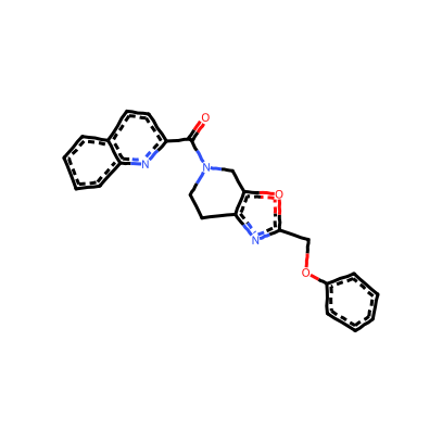 O=C(c1ccc2ccccc2n1)N1CCc2nc(COc3ccccc3)oc2C1